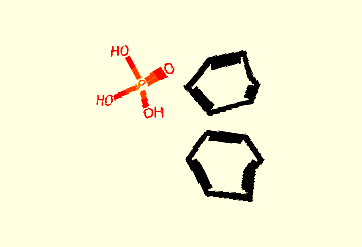 O=P(O)(O)O.c1ccccc1.c1ccccc1